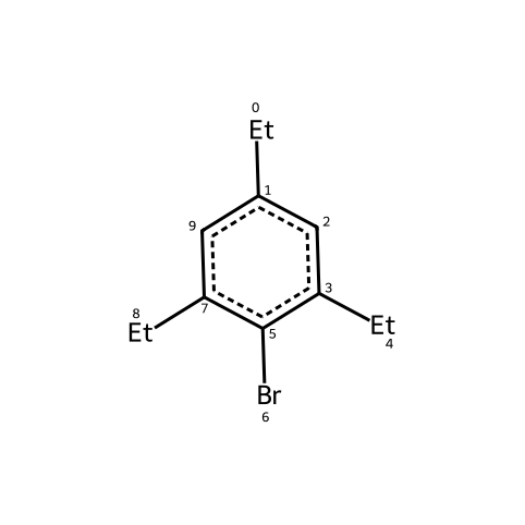 CCc1cc(CC)c(Br)c(CC)c1